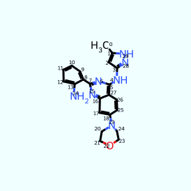 Cc1cc(Nc2nc(-c3ccccc3N)nc3cc(N4CCOCC4)ccc23)n[nH]1